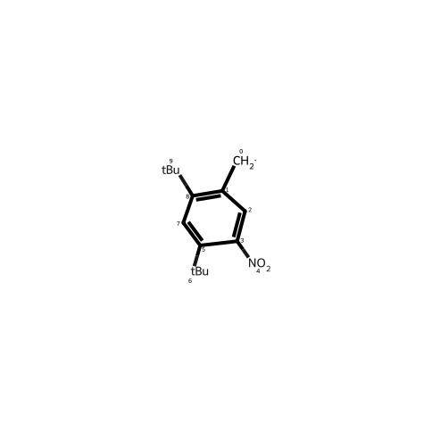 [CH2]c1cc([N+](=O)[O-])c(C(C)(C)C)cc1C(C)(C)C